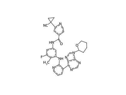 Cc1c(F)cc(NC(=O)c2ccnc(C3(C#N)CC3)c2)cc1Nc1ncccc1-c1ncnc2c1ncn2C1CCCCO1